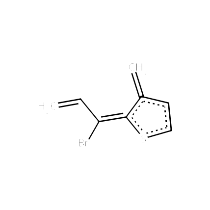 C=C/C(Br)=c1/sccc1=C